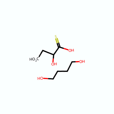 O=C(O)CC(O)C(O)=S.OCCCCO